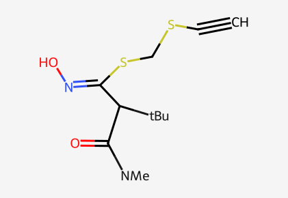 C#CSCS/C(=N\O)C(C(=O)NC)C(C)(C)C